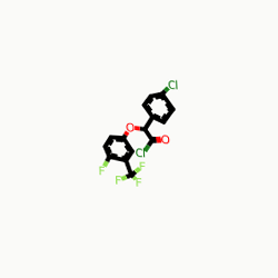 O=C(Cl)C(Oc1ccc(F)c(C(F)(F)F)c1)c1ccc(Cl)cc1